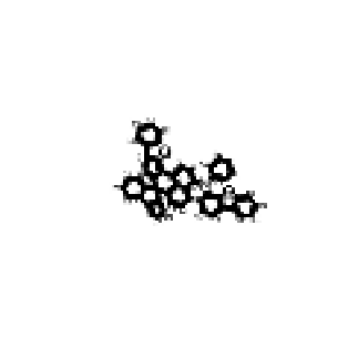 c1ccc(N(c2ccc3c4c(cccc24)C2(c4ccccc4-c4ccccc42)c2ccc4c(oc5ccccc54)c2-3)c2cccc3c2oc2ccccc23)cc1